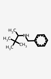 [CH2]C(NCc1ccccc1)C(C)(C)C